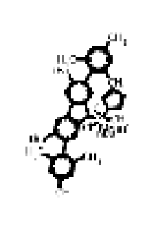 [CH2]=[Zr]([Cl])([Cl])([CH2]CCC)([CH2]CCC)([CH]1C=CC=C1)[CH]1c2cc(-c3c(C)cc(C)cc3C)c(C(C)(C)C)cc2-c2cc(C(C)(C)C)c(-c3c(C)cc(C)cc3C)cc21